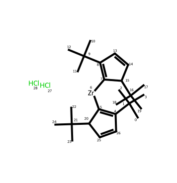 CC(C)(C)C1=[C]([Zr][C]2=C(C(C)(C)C)C=CC2C(C)(C)C)C(C(C)(C)C)C=C1.Cl.Cl